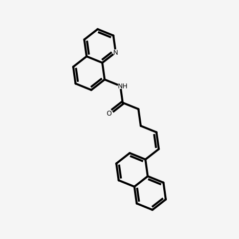 O=C(CC/C=C\c1cccc2ccccc12)Nc1cccc2cccnc12